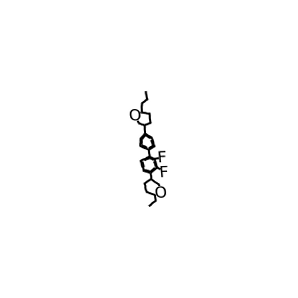 CCCC1CCC(c2ccc(-c3ccc(C4CCC(CC)OC4)c(F)c3F)cc2)CO1